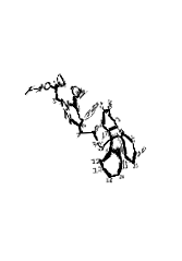 O=C(O)CN1N=C(CCSC(c2ccccc2)(c2ccccc2)c2ccccc2)CC1=O